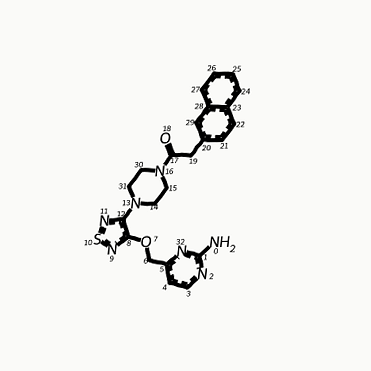 Nc1nccc(COc2nsnc2N2CCN(C(=O)Cc3ccc4ccccc4c3)CC2)n1